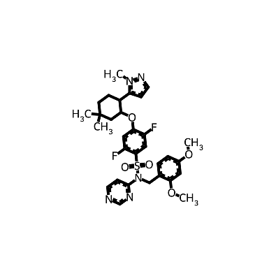 COc1ccc(CN(c2ccncn2)S(=O)(=O)c2cc(F)c(OC3CC(C)(C)CCC3c3ccnn3C)cc2F)c(OC)c1